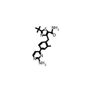 Cc1cc(-c2ccnc(N)n2)ccc1Cc1nc(C(C)(C)C)sc1C(N)=O